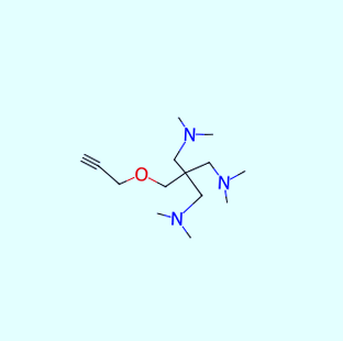 C#CCOCC(CN(C)C)(CN(C)C)CN(C)C